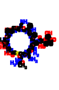 CC(O)[C@@H]1NC(=O)[C@H](Cc2ccccc2)NC(=O)[C@H](C(C)O)NC(=O)[C@H](CCCCN)NC(=O)[C@H](Cc2c[nH]c3ccccc23)NC(=O)[C@H](Cc2ccccc2)NC(=O)[C@H](Cc2ccccc2)NC(=O)[C@H](CC(N)=O)NC(=O)[C@H](CCCCN)NC(=O)[C@@H](NC(=O)CNC(=O)[C@H](C)N)CSSC[C@@H](C(=O)O)NC(=O)[C@H](CO)NC1=O.O=C1C=CC(=O)N1.O=C1OC2(c3ccc(O)cc3Oc3cc(O)ccc32)c2ccccc21